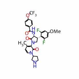 COc1cc(F)c([C@@H]2CN(c3c(C)ccn(C4CCNC4)c3=O)C(=O)[C@H]2NC(=O)c2ccc(OC(F)(F)F)cc2)c(F)c1